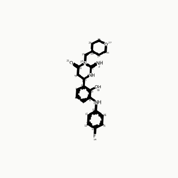 N=C1NC(c2cccc(Nc3ccc(F)cc3)c2O)CC(=O)N1CC1CCOCC1